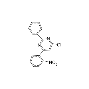 O=[N+]([O-])c1ccccc1-c1cc(Cl)nc(-c2ccccc2)n1